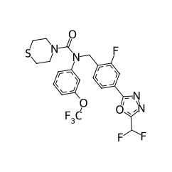 O=C(N1CCSCC1)N(Cc1ccc(-c2nnc(C(F)F)o2)cc1F)c1cccc(OC(F)(F)F)c1